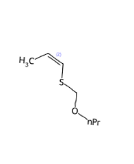 C/C=C\SCOCCC